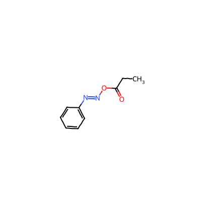 CCC(=O)ON=Nc1ccccc1